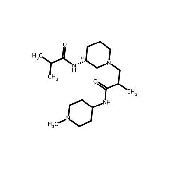 CC(C)C(=O)N[C@@H]1CCCN(CC(C)C(=O)NC2CCN(C)CC2)C1